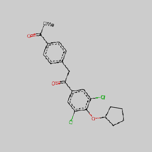 COC(=O)c1ccc(CC(=O)c2cc(Cl)c(OC3CCCC3)c(Cl)c2)cc1